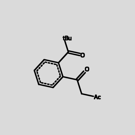 CC(=O)CC(=O)c1ccccc1C(=O)C(C)(C)C